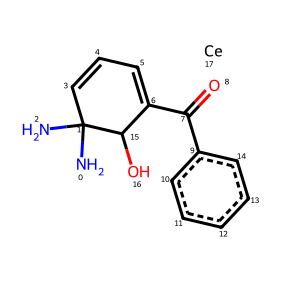 NC1(N)C=CC=C(C(=O)c2ccccc2)C1O.[Ce]